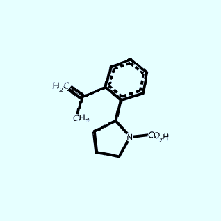 C=C(C)c1ccccc1C1CCCN1C(=O)O